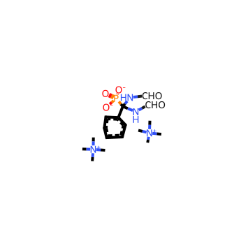 C[N+](C)(C)C.C[N+](C)(C)C.O=CNC(NC=O)(c1ccccc1)P(=O)([O-])[O-]